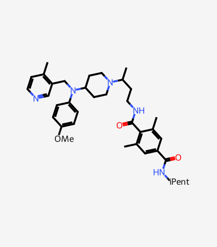 CCCC(C)NC(=O)c1cc(C)c(C(=O)NCCC(C)N2CCC(N(Cc3cnccc3C)c3ccc(OC)cc3)CC2)c(C)c1